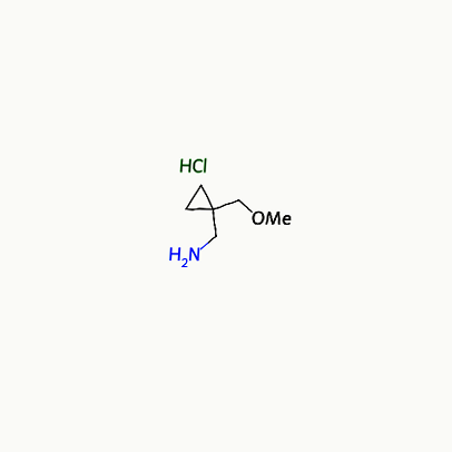 COCC1(CN)CC1.Cl